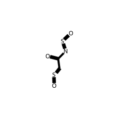 O=S=CC(=O)N=S=O